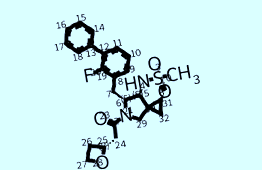 CS(=O)(=O)N[C@@H]1[C@H](Cc2cccc(-c3ccccc3)c2F)N(C(=O)C[C@H]2CCO2)CC12CC2